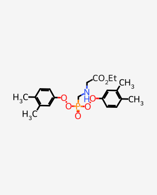 CCOC(=O)CNCP(=O)(OOc1ccc(C)c(C)c1)OOc1ccc(C)c(C)c1